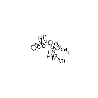 C#Cc1cc(Nc2cc(C)nc(Oc3ccc(NC(=O)Nc4cc5ccccc5o4)cc3Cl)n2)[nH]n1